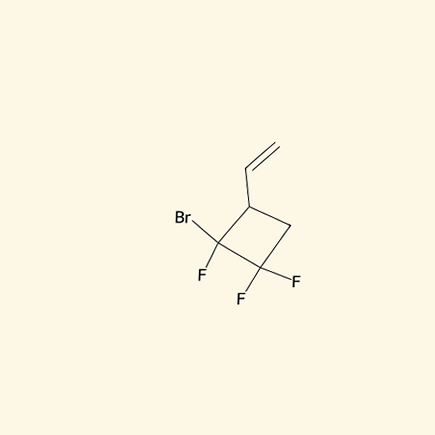 C=CC1CC(F)(F)C1(F)Br